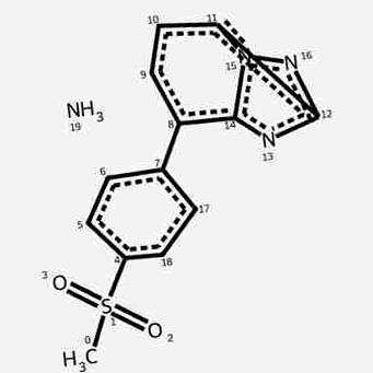 CS(=O)(=O)c1ccc(-c2ccc3c4nc2n3n4)cc1.N